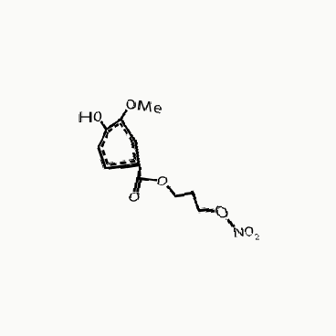 COc1cc(C(=O)OCCCO[N+](=O)[O-])ccc1O